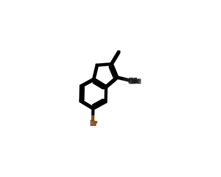 CC(=O)OC1=C(C)Cc2ccc(Br)cc21